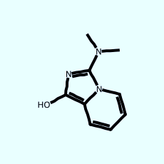 CN(C)c1nc(O)c2ccccn12